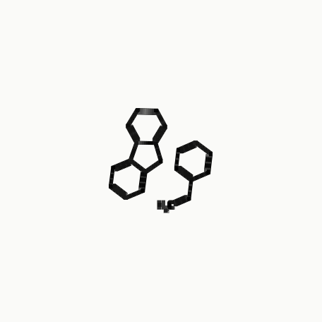 C=Cc1ccccc1.c1ccc2c(c1)Cc1ccccc1-2